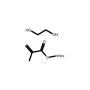 C=C(C)C(=O)OCCCCCC.OCCO